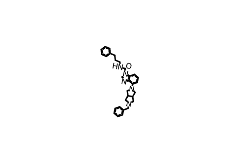 O=C(NCCCc1ccccc1)n1cnc2c(N3CC4CN(Cc5ccccc5)CC4C3)cccc21